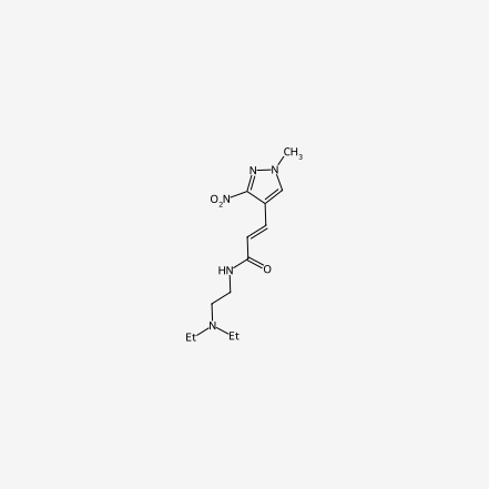 CCN(CC)CCNC(=O)C=Cc1cn(C)nc1[N+](=O)[O-]